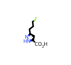 O=C(O)c1cc(CCCF)n[nH]1